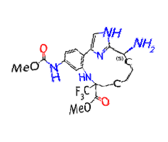 COC(=O)Nc1ccc2c(c1)NC(C(=O)OC)(C(F)(F)F)CCCCC[C@H](N)c1nc-2c[nH]1